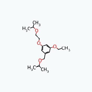 CCOc1cc(COC(C)C)cc(OCCOC(C)C)c1